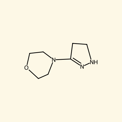 C1CC(N2CCOCC2)=NN1